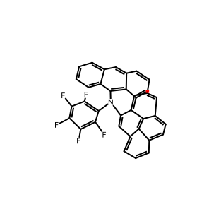 Fc1c(F)c(F)c(N(c2c3ccccc3cc3ccccc23)c2cc3cccc4ccc5cccc2c5c43)c(F)c1F